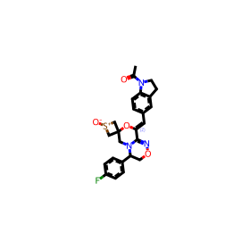 CC(=O)N1CCc2cc(/C=C3\OC4(CN5C3=NOCC5c3ccc(F)cc3)C[S+]([O-])C4)ccc21